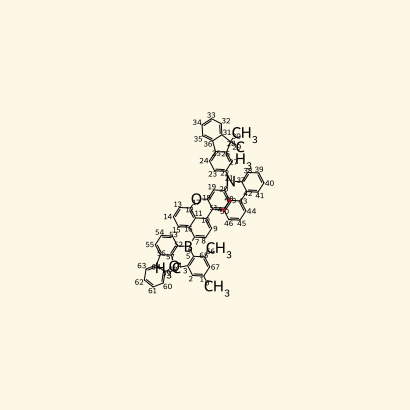 Cc1cc(C)c(B(c2ccc3c4c(cccc24)Oc2cc(N(c4ccc5c(c4)C(C)(C)c4ccccc4-5)c4ccccc4-c4ccccc4)ccc2-3)c2cccc3c2oc2ccccc23)c(C)c1